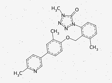 Cc1ccc(-c2ccc(OCc3c(C)cccc3-n3nnn(C)c3=O)c(C)c2)cn1